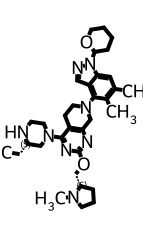 Cc1cc2c(cnn2C2CCCCO2)c(N2CCc3c(nc(OC[C@@H]4CCCN4C)nc3N3CCN[C@@H](CC#N)C3)C2)c1C